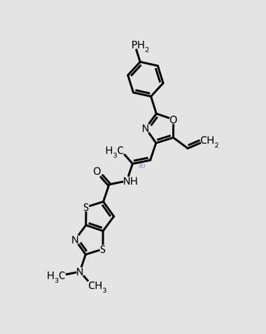 C=Cc1oc(-c2ccc(P)cc2)nc1/C=C(\C)NC(=O)c1cc2sc(N(C)C)nc2s1